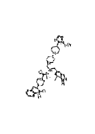 CCCn1ccnc1C1CCN(C2CCN(C[C@@H](Cc3cc(C)c4[nH]ncc4c3)NC(=O)N3CCC(c4cc5ccccc5[nH]c4=O)CC3)CC2)CC1